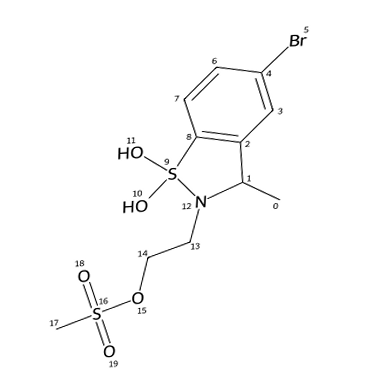 CC1c2cc(Br)ccc2S(O)(O)N1CCOS(C)(=O)=O